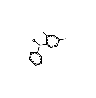 Cc1ccc(P(Cl)c2ccccc2)c(C)c1